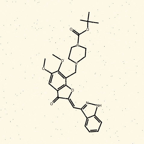 COc1cc2c(c(CN3CCN(C(=O)OC(C)(C)C)CC3)c1OC)O/C(=C\c1n[nH]c3ccccc13)C2=O